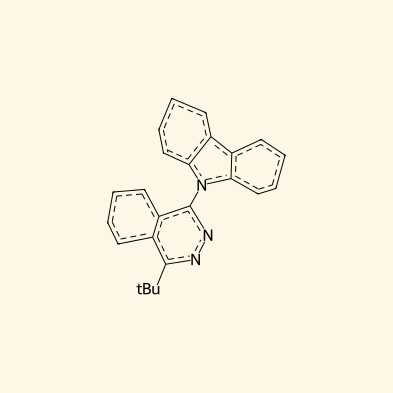 CC(C)(C)c1nnc(-n2c3ccccc3c3ccccc32)c2ccccc12